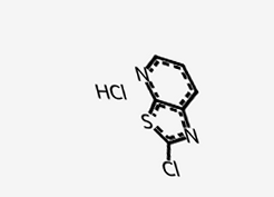 Cl.Clc1nc2cccnc2s1